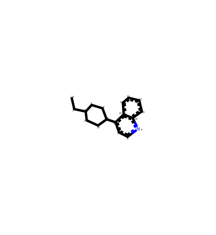 [CH2]CC1CCC(c2ccnc3ccccc23)CC1